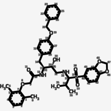 Cc1cccc(C)c1OCC(=O)N[C@@H](Cc1ccc(OCc2ccccc2)cc1)[C@H](O)CNC(C(C)C)S(=O)(=O)c1ccc2c(c1)OCO2